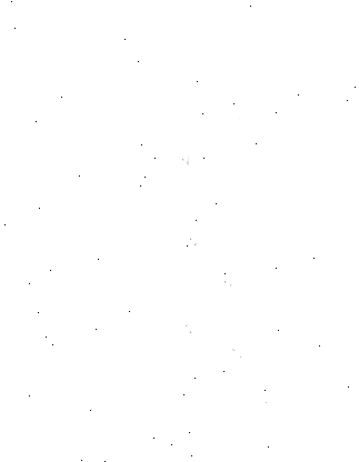 C1=C(C(Cc2ccccc2)N2CCN(c3nc(-n4ccnc4)ns3)CC2)OCO1